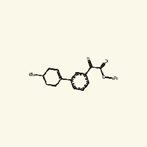 CCCOC(=O)C(=O)c1cccc(C2=CCC(C(C)(C)C)CC2)c1